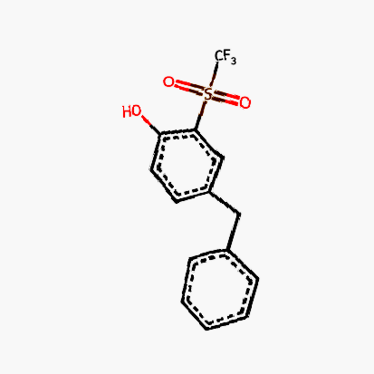 O=S(=O)(c1cc(Cc2ccccc2)ccc1O)C(F)(F)F